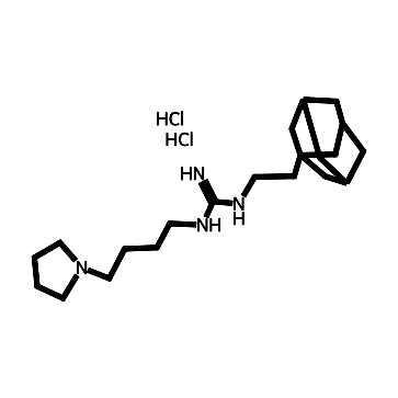 Cl.Cl.N=C(NCCCCN1CCCC1)NCCC12CC3CC(CC(C3)C1)C2